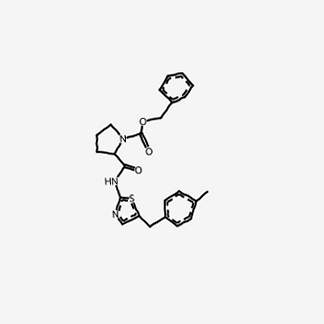 Cc1ccc(Cc2cnc(NC(=O)C3CCCN3C(=O)OCc3ccccc3)s2)cc1